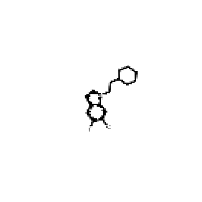 Fc1cc2ccn(CCC3CCCCC3)c2cc1Cl